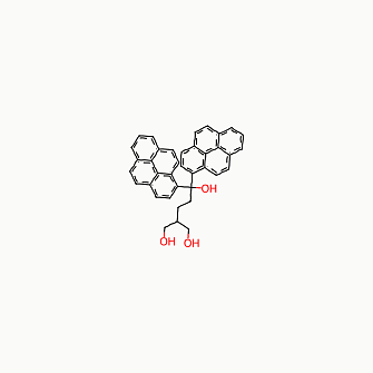 OCC(CO)CCC(O)(c1ccc2ccc3cccc4ccc1c2c34)c1ccc2ccc3cccc4ccc1c2c34